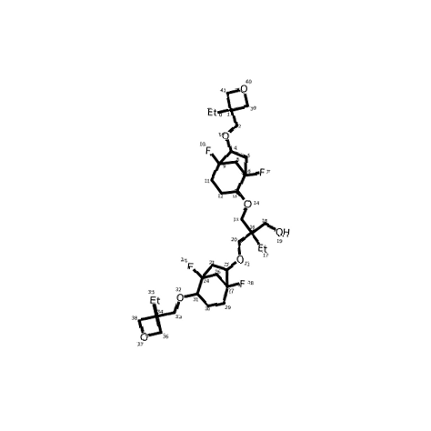 CCC1(COC2CC3(F)CC2(F)CCC3OCC(CC)(CO)COC2CC3(F)CC2(F)CCC3OCC2(CC)COC2)COC1